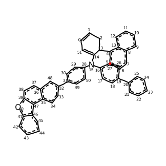 C1=CCC(c2cccc3ccccc23)C(N(c2ccc(-c3ccccc3)cc2)c2ccc(-c3ccc4c(ccc5oc6ccccc6c54)c3)cc2)=C1